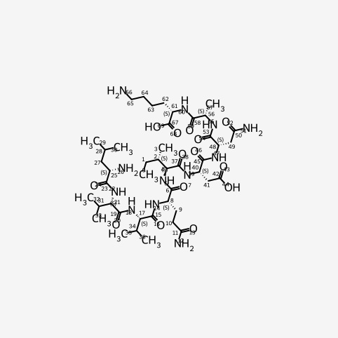 CC[C@H](C)[C@H](NC(=O)[C@H](CCC(N)=O)NC(=O)[C@@H](NC(=O)[C@@H](NC(=O)[C@@H](N)CC(C)C)C(C)C)C(C)C)C(=O)N[C@@H](CC(=O)O)C(=O)N[C@@H](CC(N)=O)C(=O)N[C@@H](C)C(=O)N[C@@H](CCCCN)C(=O)O